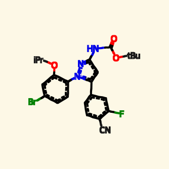 CC(C)Oc1cc(Br)ccc1-n1nc(NC(=O)OC(C)(C)C)cc1-c1ccc(C#N)c(F)c1